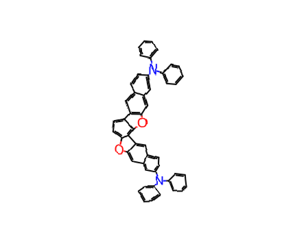 c1ccc(N(c2ccccc2)c2ccc3cc4c(cc3c2)oc2c4ccc3oc4cc5cc(N(c6ccccc6)c6ccccc6)ccc5cc4c32)cc1